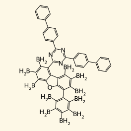 Bc1c(B)c(B)c(-c2c(B)c(B)c(B)c3c2oc2c(B)c(B)c(B)c(-c4nc(-c5ccc(-c6ccccc6)cc5)nc(-c5ccc(-c6ccccc6)cc5)n4)c23)c(B)c1B